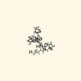 CCCCN(Cc1cccs1)C(=O)NCCS(=O)(=O)N(Cc1cccs1)Cc1cccs1